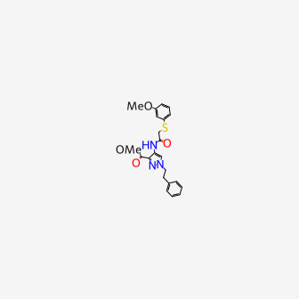 COC(=O)c1nn(CCc2ccccc2)cc1NC(=O)CSc1cccc(OC)c1